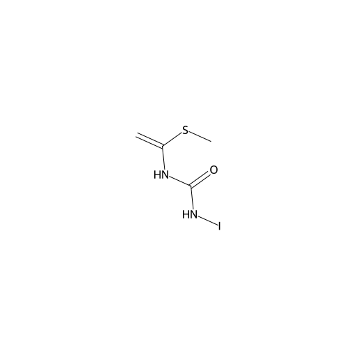 C=C(NC(=O)NI)SC